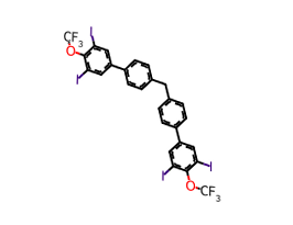 FC(F)(F)Oc1c(I)cc(-c2ccc(Cc3ccc(-c4cc(I)c(OC(F)(F)F)c(I)c4)cc3)cc2)cc1I